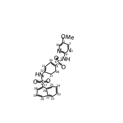 COc1cnc(NS(=O)(=O)C2=CC=C(NS(=O)(=O)c3cccc4ccccc34)CC2)nc1